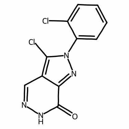 O=c1[nH]ncc2c(Cl)n(-c3ccccc3Cl)nc12